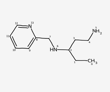 CCC(CCN)NCc1ccccn1